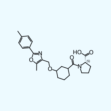 Cc1ccc(-c2nc(COC3CCCC(C(=O)N4CCC[C@H]4C(=O)O)C3)c(C)o2)cc1